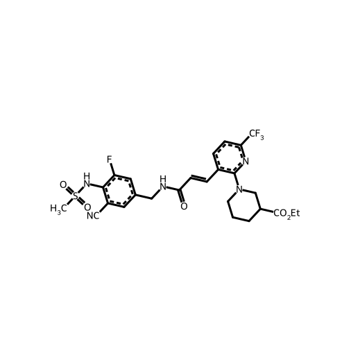 CCOC(=O)C1CCCN(c2nc(C(F)(F)F)ccc2/C=C/C(=O)NCc2cc(F)c(NS(C)(=O)=O)c(C#N)c2)C1